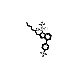 CCCCCCC1=Cc2c(-c3ccc([Si](C)(C)C)cc3)cccc2[CH]1[Zr]([Cl])([Cl])[SiH](C)C